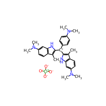 Cc1c([C+](c2ccc(N(C)C)cc2)c2[nH]c3cc(N(C)C)ccc3c2C)[nH]c2cc(N(C)C)ccc12.[O-][Cl+3]([O-])([O-])[O-]